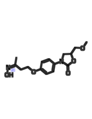 COCC1CN(c2ccc(OCC/C(C)=N\O)cc2)C(=O)O1